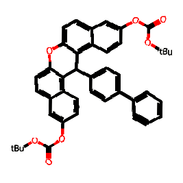 CC(C)(C)OC(=O)Oc1ccc2c3c(ccc2c1)Oc1ccc2cc(OC(=O)OC(C)(C)C)ccc2c1C3c1ccc(-c2c#cccc2)cc1